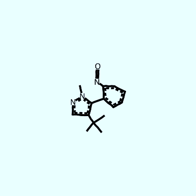 Cn1ncc(C(C)(C)C)c1-c1ccccc1N=O